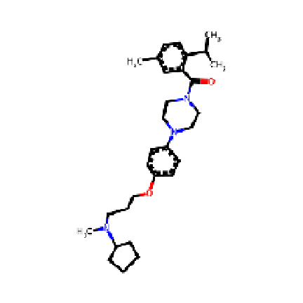 Cc1ccc(C(C)C)c(C(=O)N2CCN(c3ccc(OCCCN(C)C4CCCC4)cc3)CC2)c1